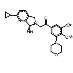 COc1c(N2CCOCC2)cc(C(=O)CN2Cc3ccc(C4CC4)nc3C2=N)cc1C(C)(C)C